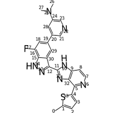 Cc1ccc(-c2nccc3[nH]c(-c4n[nH]c5c(F)cc(-c6cncc(N(C)C)c6)cc45)nc23)s1